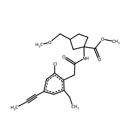 CC#Cc1cc(Cl)c(CC(=O)NC2(C(=O)OC)CCC(COC)C2)c(CC)c1